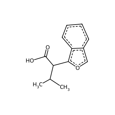 CC(C)C(C(=O)O)c1occ2ccccc12